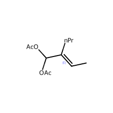 C/C=C(\CCC)C(OC(C)=O)OC(C)=O